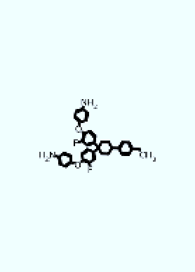 CCc1ccc(C2CCC(c3ccc(Oc4ccc(N)cc4)c(F)c3)(c3ccc(Oc4ccc(N)cc4)c(F)c3)CC2)cc1